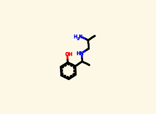 CC(N)CNC(C)c1ccccc1O